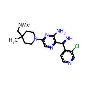 CNCC1(C)CCN(c2cnc(C(=N)c3ccncc3Cl)c(N)n2)CC1